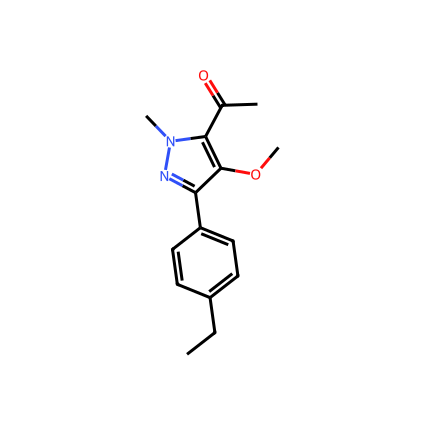 CCc1ccc(-c2nn(C)c(C(C)=O)c2OC)cc1